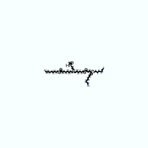 CC/C=C\CCCCOC(CCC(=O)OCCCCCCN(CCCCCCCC(=O)OCCCCCCCCC)CCCNC(C)=O)OCCCC/C=C\CC